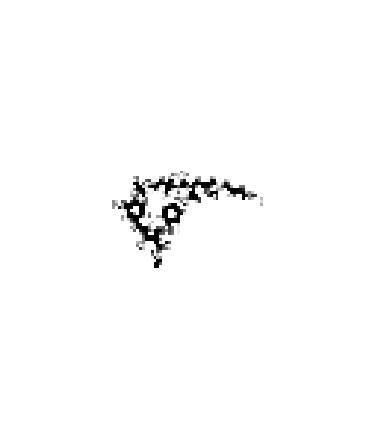 CCOC(=O)C1=C(Nc2ccccc2)S/C(=C\c2ccc(OC(C)(C)OCCC(C)(C)NC(=O)N(Cc3cn(CCCN)nn3)C(C)=O)c(O)c2)C1=O